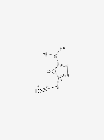 C#CCc1ccc(C(F)F)o1